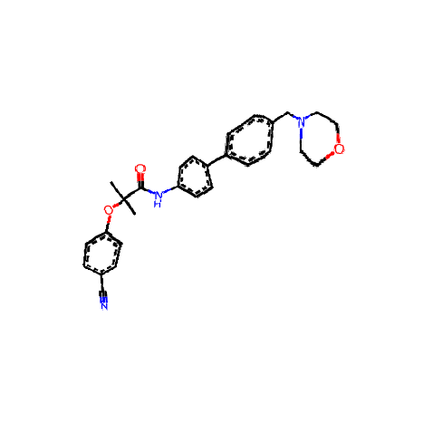 CC(C)(Oc1ccc(C#N)cc1)C(=O)Nc1ccc(-c2ccc(CN3CCOCC3)cc2)cc1